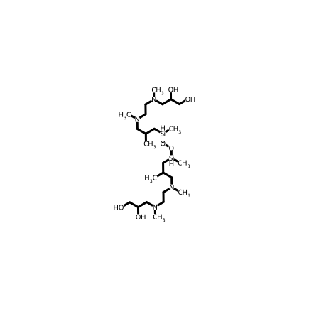 CC(CN(C)CCN(C)CC(O)CO)C[SiH](C)OO[SiH](C)CC(C)CN(C)CCN(C)CC(O)CO